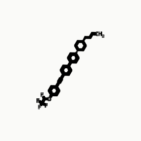 C=CCC[C@H]1CC[C@H](c2ccc(-c3ccc(C#Cc4ccc(OC(F)C(F)(F)F)cc4)cc3)cc2)CC1